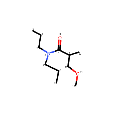 CCCN(CCC)C(=O)C(C)COC